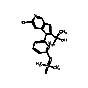 CC(C)(O)c1cc2cnc(Cl)nc2n1-c1cccc(N=S(C)(C)=O)n1